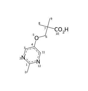 Cc1ncc(OCC(C)(C)C(=O)O)cn1